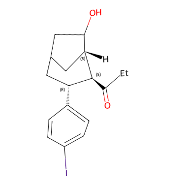 CCC(=O)[C@@H]1[C@@H]2CC(CC2O)C[C@H]1c1ccc(I)cc1